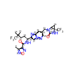 Cc1nonc1C(=O)N[C@@H](CCC(C)(C)C(F)(F)F)c1cn2ncc(CN3C(=O)N[C@]4(C(F)(F)F)CC34)cc2n1